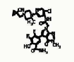 C[C@H]1CN(CC2(C#N)CC2)CCN1c1cc(NC(=O)Cn2cc(-c3cc(C(N)=O)c(O)c(F)c3F)c3c(=O)n(C)cnc32)c(Cl)cn1